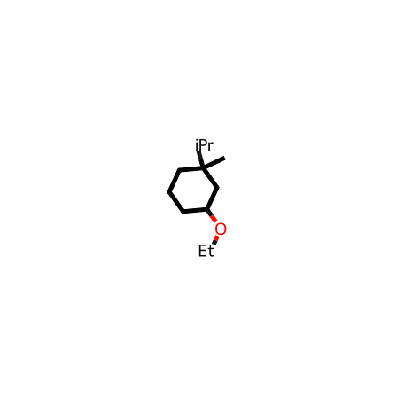 CCOC1CCCC(C)(C(C)C)C1